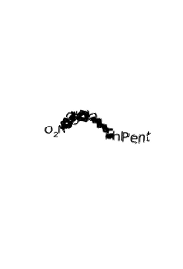 CCCCCN(C)CCCCCCOC1CCC(N(C)S(=O)(=O)c2ccc([N+](=O)[O-])cc2)CC1